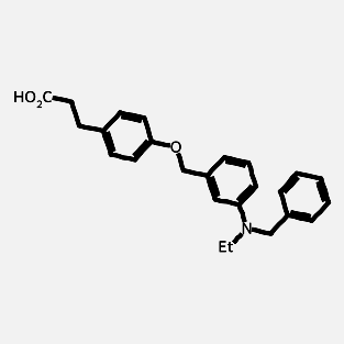 CCN(Cc1ccccc1)c1cccc(COc2ccc(CCC(=O)O)cc2)c1